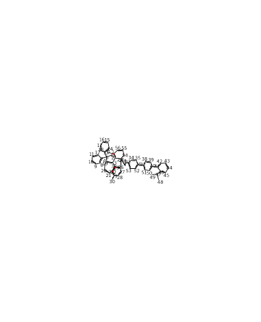 CC1=C(C2=C(C(C)(c3ccccc3)c3ccccc3)CC=CC=C2)C(N(c2ccc(C)cc2)c2ccc(-c3ccc(-c4ccccc4C(C)C)cc3)cc2)CC=C1